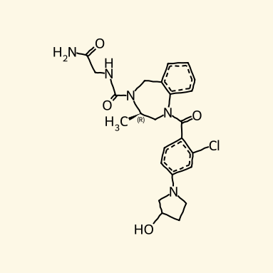 C[C@@H]1CN(C(=O)c2ccc(N3CCC(O)C3)cc2Cl)c2ccccc2CN1C(=O)NCC(N)=O